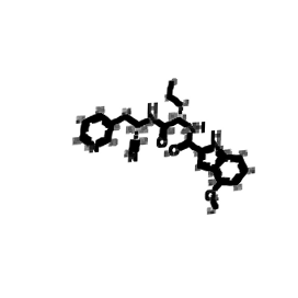 CCC[C@H](NC(=O)c1cc2c(OC)cccc2[nH]1)C(=O)N[C@H](C#N)Cc1cccnc1